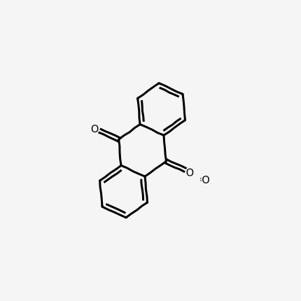 O=C1c2ccccc2C(=O)c2ccccc21.[O]